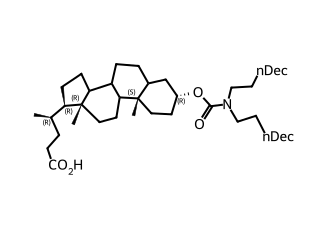 CCCCCCCCCCCCN(CCCCCCCCCCCC)C(=O)O[C@@H]1CC[C@@]2(C)C(CCC3C2CC[C@@]2(C)C3CC[C@@H]2[C@H](C)CCC(=O)O)C1